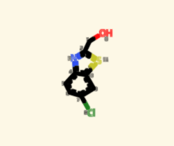 OCc1nc2ccc(Cl)cc2s1